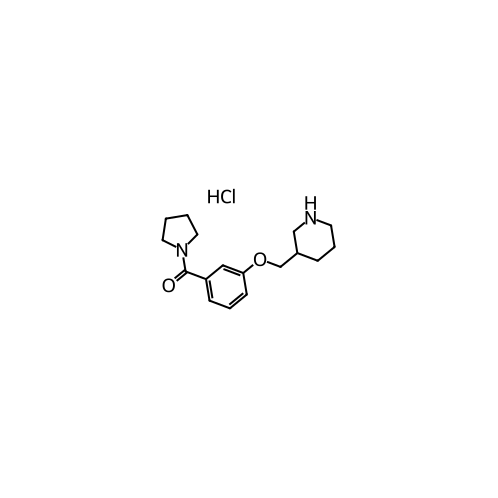 Cl.O=C(c1cccc(OCC2CCCNC2)c1)N1CCCC1